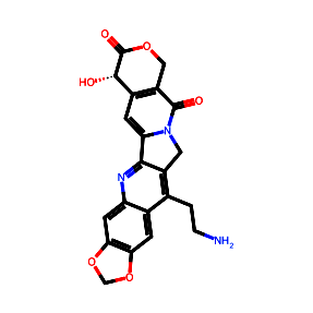 NCCc1c2c(nc3cc4c(cc13)OCO4)-c1cc3c(c(=O)n1C2)COC(=O)[C@H]3O